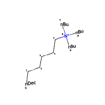 CCCCCCCCCCCCCCC[N+](CCCC)(CCCC)CCCC